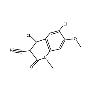 COc1cc2c(cc1Cl)C(Cl)C(C#N)C(=O)N2C